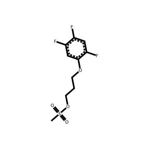 CS(=O)(=O)OCCCOc1cc(F)c(F)cc1F